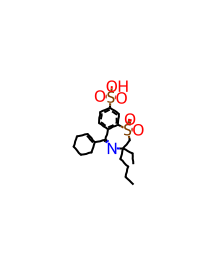 CCCCC1(CC)CS(=O)(=O)c2cc(S(=O)(=O)O)ccc2C(C2=CCCCC2)=N1